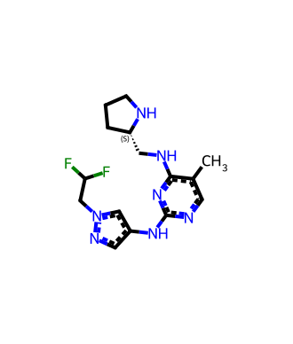 Cc1cnc(Nc2cnn(CC(F)F)c2)nc1NC[C@@H]1CCCN1